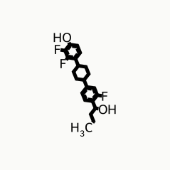 CCCC(O)c1ccc(C2CCC(c3ccc(O)c(F)c3F)CC2)cc1F